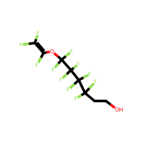 OCCC(F)(F)C(F)(F)C(F)(F)C(F)(F)OC(F)=C(F)F